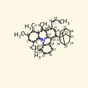 C=c1c2c(C)c(C)cc(C)c2n2c3c(C)cccc3c3c(C45CC6CC(CC(C6)C4)C5)cc(/C=C\C)c1c32